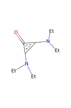 CCN(CC)c1c(N(CC)CC)c1=O